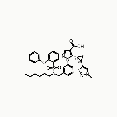 CCCCCCN(Cc1cccc(-n2ncc(C(=O)O)c2[C@@H]2C[C@H]2c2cn(C)nn2)c1)S(=O)(=O)c1ccccc1Oc1ccccc1